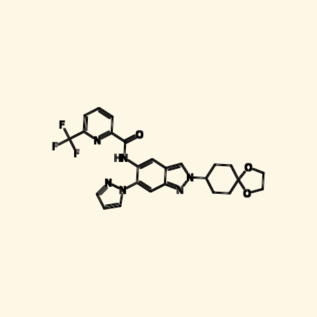 O=C(Nc1cc2cn(C3CCC4(CC3)OCCO4)nc2cc1-n1cccn1)c1cccc(C(F)(F)F)n1